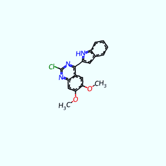 COc1cc2nc(Cl)nc(-c3cc4ccccc4[nH]3)c2cc1OC